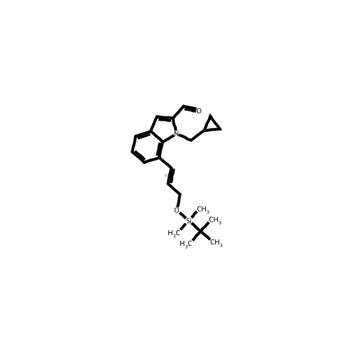 CC(C)(C)[Si](C)(C)OC/C=C/c1cccc2cc(C=O)n(CC3CC3)c12